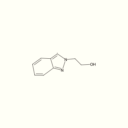 OCCn1[c]c2ccccc2n1